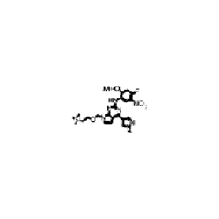 COc1cc(F)c([N+](=O)[O-])cc1Nc1nc(-c2cnn(C)c2)c2ccn(COCC[Si](C)(C)C)c2n1